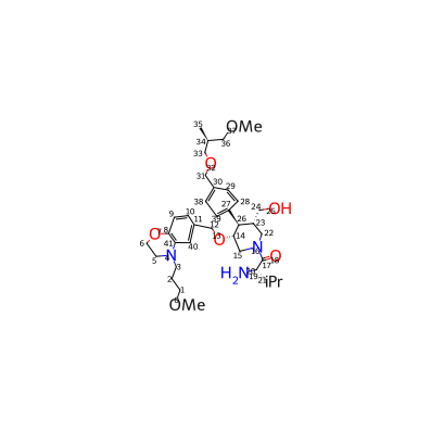 COCCCN1CCOc2ccc(CO[C@H]3CN(C(=O)[C@@H](N)C(C)C)C[C@@H](CO)[C@@H]3c3ccc(COC[C@@H](C)COC)cc3)cc21